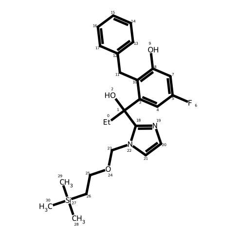 CCC(O)(c1cc(F)cc(O)c1Cc1ccccc1)c1nccn1COCC[Si](C)(C)C